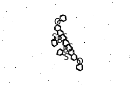 c1ccc(Oc2ccc3c4c5c(cc3c2)Sc2cc3c(cc2B5c2ccccc2S4)B2c4ccccc4Sc4c2c(cc2cc(Oc5ccccc5)ccc42)S3)cc1